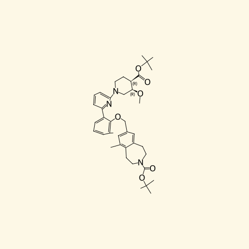 CO[C@H]1CN(c2cccc(-c3cccc(C)c3OCc3cc(C)c4c(c3)CCN(C(=O)OC(C)(C)C)CC4)n2)CC[C@H]1C(=O)OC(C)(C)C